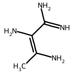 C/C(N)=C(\N)C(=N)N